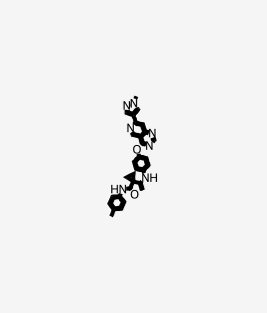 C=C(Nc1ccc(Oc2ncnc3cc(-c4cnn(C)c4)ncc23)cc1)C1(C(=O)Nc2ccc(C)cc2)CC1